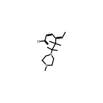 C=C(Cl)/C=C\C(=C/C)C(C)(C)C(C)(C)N1CCN(C)CC1